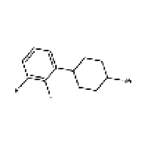 CCCC1CCC(c2cccc(F)c2F)CC1